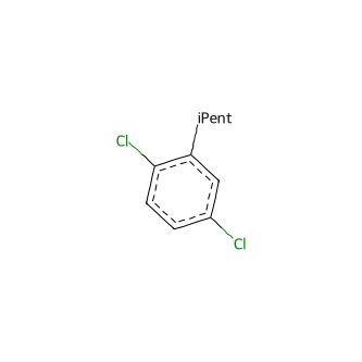 CCCC(C)c1cc(Cl)ccc1Cl